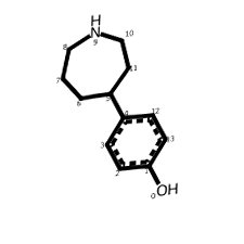 Oc1ccc(C2CCCNCC2)cc1